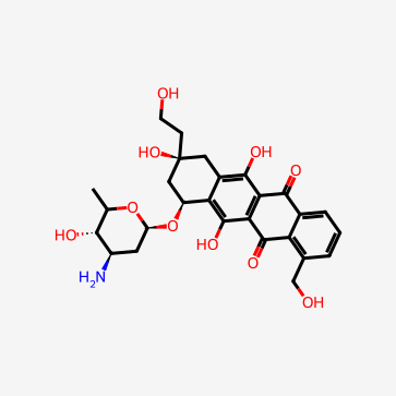 CC1O[C@@H](O[C@H]2C[C@](O)(CCO)Cc3c(O)c4c(c(O)c32)C(=O)c2c(CO)cccc2C4=O)C[C@@H](N)[C@@H]1O